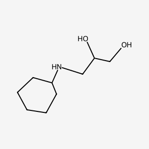 OCC(O)CNC1CCCCC1